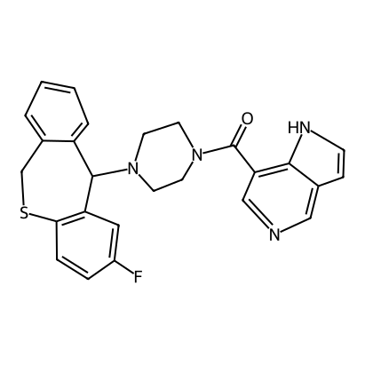 O=C(c1cncc2cc[nH]c12)N1CCN(C2c3ccccc3CSc3ccc(F)cc32)CC1